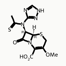 COC1=C(C(=O)O)N2C(=O)[C@@H](N(C(C)=S)c3nc[nH]n3)[C@H]2SC1